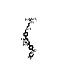 N=C(N)NCCCNCc1ccc(-c2cn3cc(-c4ccc(C(=O)N5CCC(F)(F)CC5)cc4)[nH]c3nc2=O)cc1